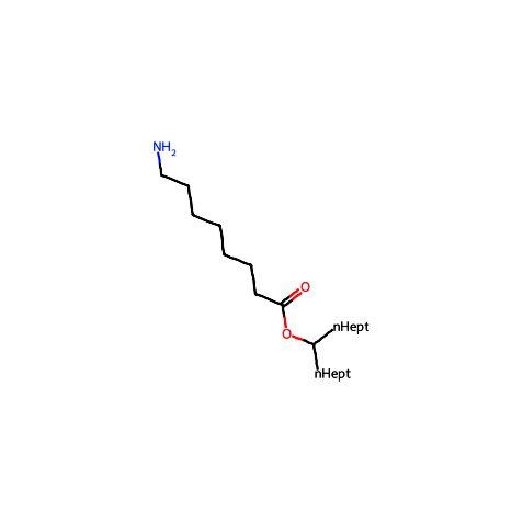 CCCCCCCC(CCCCCCC)OC(=O)CCCCCCCN